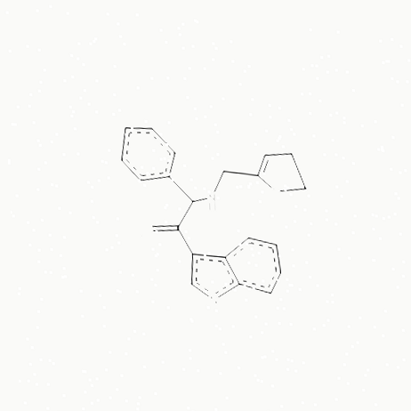 C=C(c1c[nH]c2ccccc12)C(NCC1=CCCS1)c1ccccc1